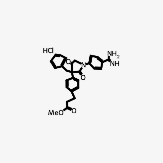 COC(=O)CCc1ccc(C2(Cc3ccccc3)C(=O)CN(c3ccc(C(=N)N)cc3)C2=O)cc1.Cl